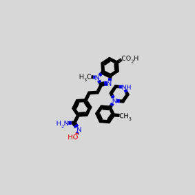 Cc1ccccc1N1CCNCC1.Cn1c(CCc2ccc(C(N)=NO)cc2)nc2cc(C(=O)O)ccc21